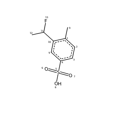 Cc1ccc(S(=O)(=O)O)cc1C(C)F